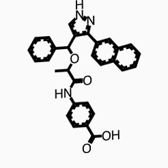 CC(OC(c1ccccc1)c1c[nH]nc1-c1ccc2ccccc2c1)C(=O)Nc1ccc(C(=O)O)cc1